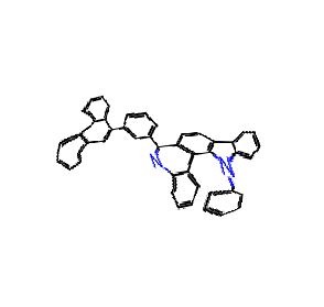 c1ccc(-n2c3ccccc3c3ccc4c(-c5cccc(-c6cc7ccccc7c7ccccc67)c5)nc5ccccc5c4c32)cc1